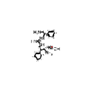 Cl.Cl.Cl.N=C(NN=C(CN)c1ccccc1)NN=C(CN)c1ccccc1